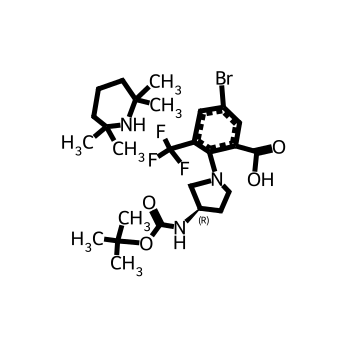 CC(C)(C)OC(=O)N[C@@H]1CCN(c2c(C(=O)O)cc(Br)cc2C(F)(F)F)C1.CC1(C)CCCC(C)(C)N1